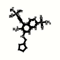 Cc1c(OCC2CCCC2)nc2nc(S(C)(=O)=O)ncc2c1C#C[Si](C(C)C)(C(C)C)C(C)C